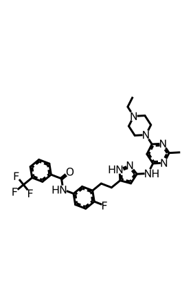 CCN1CCN(c2cc(Nc3cc(CCc4cc(NC(=O)c5cccc(C(F)(F)F)c5)ccc4F)[nH]n3)nc(C)n2)CC1